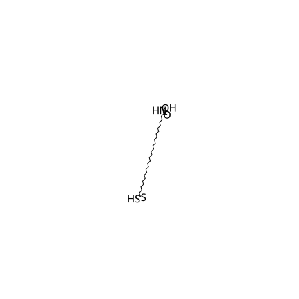 O=C(CCCCCCCCCCCCCCCCCCCCCCCCCCCC(=S)S)NO